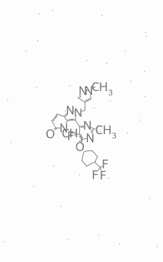 Cc1nc(OC2CCC(C(F)(F)F)CC2)c(F)c(-c2c3c(ccc(=O)n3C)nn2Cc2cnn(C)c2)n1